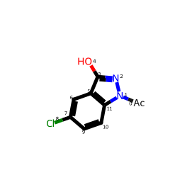 CC(=O)n1nc(O)c2cc(Cl)ccc21